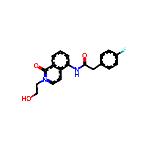 O=C(Cc1ccc(F)cc1)Nc1cccc2c(=O)n(CCO)ccc12